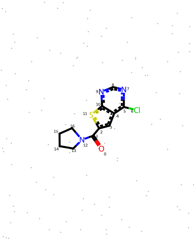 O=C(c1cc2c(Cl)ncnc2s1)N1CCCC1